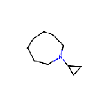 [CH]1CCCCN(C2CC2)CC1